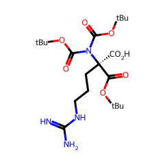 CC(C)(C)OC(=O)N(C(=O)OC(C)(C)C)[C@@](CCCNC(=N)N)(C(=O)O)C(=O)OC(C)(C)C